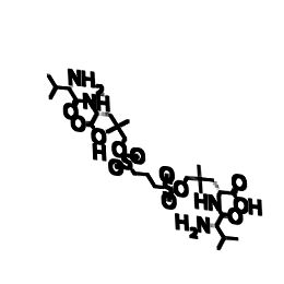 CC(C)[C@H](N)C(=O)N[C@H](CC(C)(C)COS(=O)(=O)CCCS(=O)(=O)OCC(C)(C)C[C@@H](NC(=O)[C@@H](N)C(C)C)C(=O)O)C(=O)O